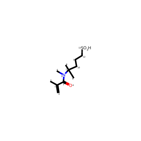 C=C(C)C(=O)N(C)C(C)(C)CCCS(=O)(=O)O